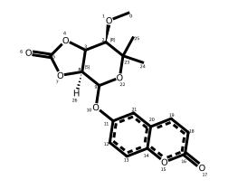 CO[C@@H]1C2OC(=O)O[C@@H]2C(Oc2ccc3oc(=O)ccc3c2)OC1(C)C